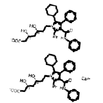 CC(C)c1c(C(=O)Nc2ccccc2)c(-c2ccccc2)c(C2CCCCC2)n1CC[C@@H](O)C[C@@H](O)CC(=O)[O-].CC(C)c1c(C(=O)Nc2ccccc2)c(-c2ccccc2)c(C2CCCCC2)n1CC[C@@H](O)C[C@@H](O)CC(=O)[O-].[Ca+2]